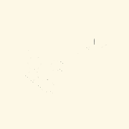 C=CC(=O)N1CC2(CC(n3nc(-c4cncnc4)c(-c4c(Cl)c(Cl)cc5[nH]ncc45)c3C(F)F)C2)C1